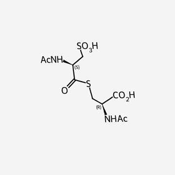 CC(=O)N[C@@H](CSC(=O)[C@H](CS(=O)(=O)O)NC(C)=O)C(=O)O